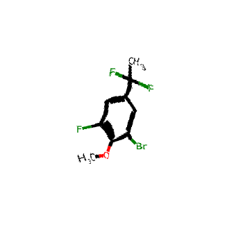 COc1c(F)cc(C(C)(F)F)cc1Br